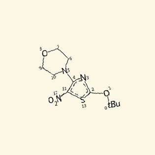 CC(C)(C)Oc1nc(N2CCOCC2)c([N+](=O)[O-])s1